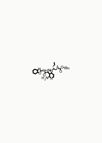 C=CC[C@H](CN(C)C(=O)OC(C)(C)C)n1nc(C(=O)Nc2nc3ccccc3o2)c2c(N)nccc21